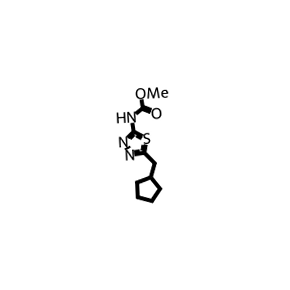 COC(=O)Nc1nnc(CC2CCCC2)s1